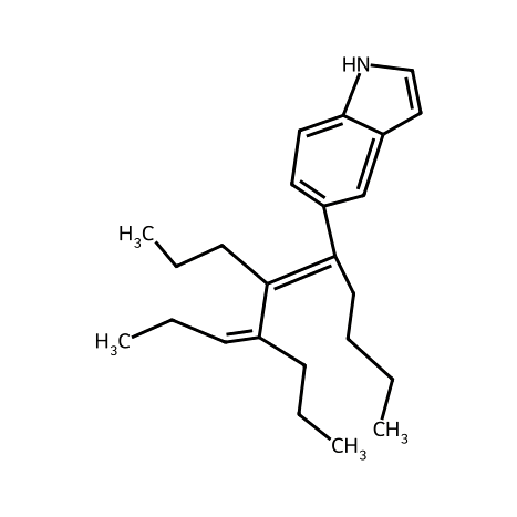 CC/C=C(CCC)\C(CCC)=C(/CCCC)c1ccc2[nH]ccc2c1